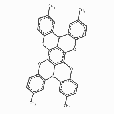 Cc1ccc2c(c1)B1c3cc(C)ccc3Oc3c4c5c(c(c31)O2)Oc1ccc(C)cc1B5c1cc(C)ccc1O4